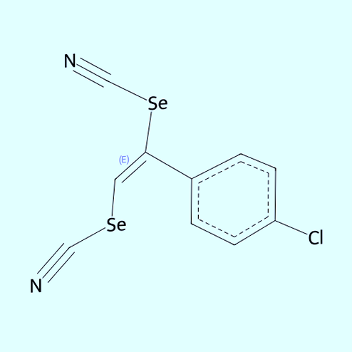 N#C[Se]/C=C(/[Se]C#N)c1ccc(Cl)cc1